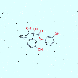 O=C(O)C(O)C(O)(C(=O)Oc1cccc(O)c1)c1cccc(O)c1